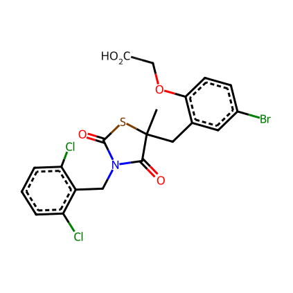 CC1(Cc2cc(Br)ccc2OCC(=O)O)SC(=O)N(Cc2c(Cl)cccc2Cl)C1=O